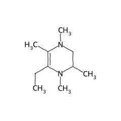 CCC1=C(C)N(C)CC(C)N1C